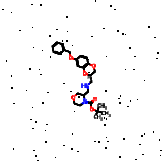 CC(C)(C)OC(=O)N1CCOCC1CNC[C@@H]1COc2ccc(OCc3ccccc3)cc2O1